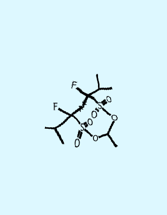 CC(OS(=O)(=O)C(F)(F)C(C)C)OS(=O)(=O)C(F)(F)C(C)C